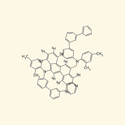 [2H]c1c([2H])c([2H])c2c(c1[2H])c(CN(c1cccc(-c3cccc(-c4ccccc4)c3)c1)c1ccc(C)cc1C)c([2H])c1c3c([2H])c([2H])c([2H])c([2H])c3c(N(c3cccc(-c4cccc(-c5ccccc5)c4)c3)c3ccc(C)cc3C)c([2H])c21